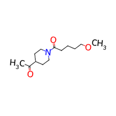 COCCCCC(=O)N1CCC(C(C)=O)CC1